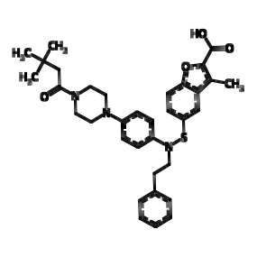 Cc1c(C(=O)O)oc2ccc(SN(CCc3ccccc3)c3ccc(N4CCN(C(=O)CC(C)(C)C)CC4)cc3)cc12